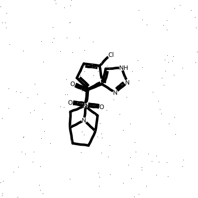 O=C(c1c[nH]nn1)N1CC2CCC(C1)N2S(=O)(=O)c1ccc(Cl)s1